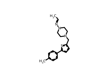 C/C=N/N1CCN(Cc2ccc(-c3ccc(C)cc3)s2)CC1